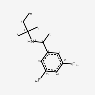 CCC(C)(C)NC(C)c1cc(F)cc(F)c1